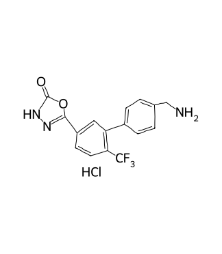 Cl.NCc1ccc(-c2cc(-c3n[nH]c(=O)o3)ccc2C(F)(F)F)cc1